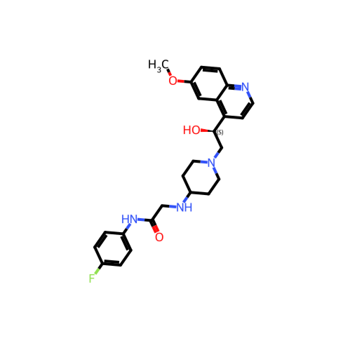 COc1ccc2nccc([C@H](O)CN3CCC(NCC(=O)Nc4ccc(F)cc4)CC3)c2c1